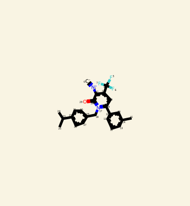 [C-]#[N+]c1c(C(F)(F)F)cc(-c2cccc(C)c2)n(Cc2ccc(C(C)C)cc2)c1=O